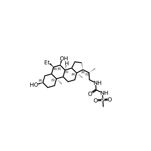 CC[C@@H]1C2C[C@H](O)CC[C@]2(C)C2CC[C@@]3(C)C(CC[C@@H]3[C@H](C)CNC(=O)NS(C)(=O)=O)[C@@H]2[C@@H]1O